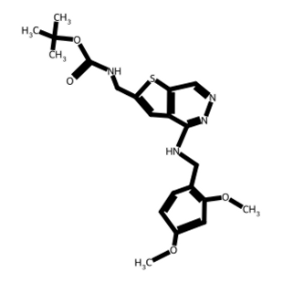 COc1ccc(CNc2nncc3sc(CNC(=O)OC(C)(C)C)cc23)c(OC)c1